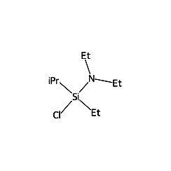 CCN(CC)[Si](Cl)(CC)C(C)C